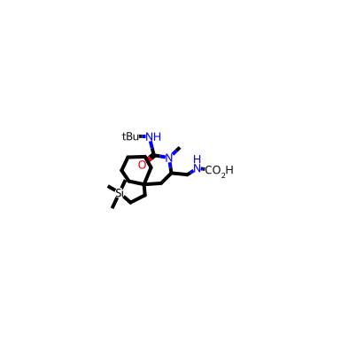 CN(C(=O)NC(C)(C)C)C(CNC(=O)O)CC1(CC[Si](C)(C)C)CCCCC1